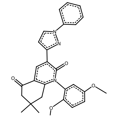 COc1ccc(OC)c(-n2c3c(cc(-c4ccn(-c5ccccc5)n4)c2=O)C(=O)CC(C)(C)C3)c1